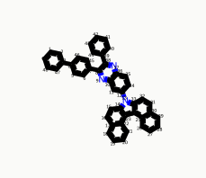 c1ccc(-c2ccc(-c3nc4cc(-n5c6ccc7ccccc7c6c6c7ccccc7ccc65)ccc4nc3-c3ccccc3)cc2)cc1